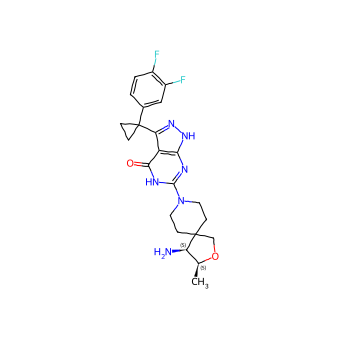 C[C@@H]1OCC2(CCN(c3nc4[nH]nc(C5(c6ccc(F)c(F)c6)CC5)c4c(=O)[nH]3)CC2)[C@@H]1N